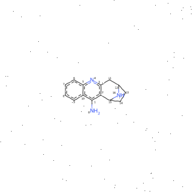 Nc1c2c(nc3ccccc13)CC1CCC2N1